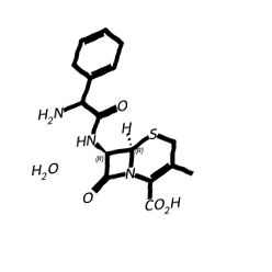 CC1=C(C(=O)O)N2C(=O)[C@@H](NC(=O)C(N)C3=CCC=CC3)[C@H]2SC1.O